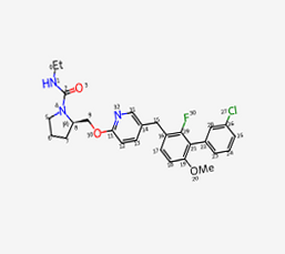 CCNC(=O)N1CCC[C@@H]1COc1ccc(Cc2ccc(OC)c(-c3cccc(Cl)c3)c2F)cn1